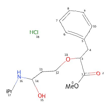 COC(=O)C(Cc1ccccc1)OCCC(O)NC(C)C.Cl